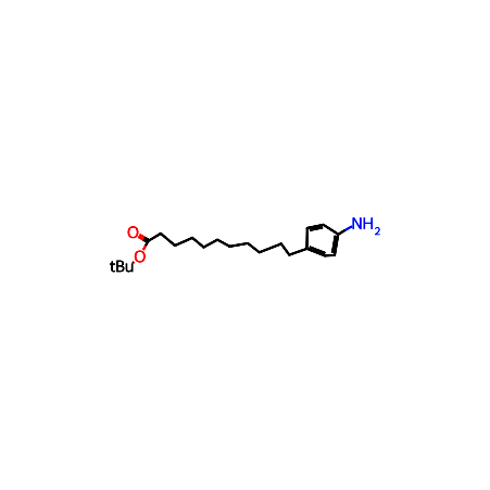 CC(C)(C)OC(=O)CCCCCCCCCCc1ccc(N)cc1